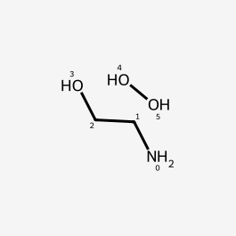 NCCO.OO